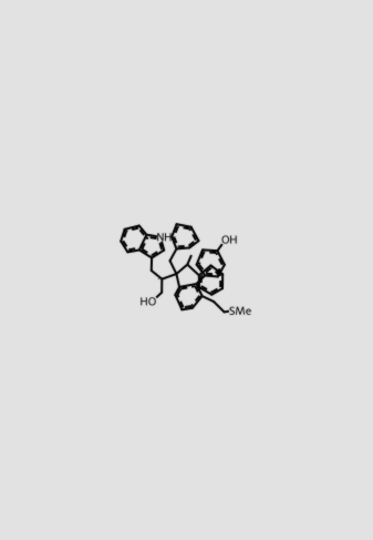 CSCCc1cccc(C(Cc2ccccc2)([C](CO)Cc2c[nH]c3ccccc23)C(C)c2ccccc2)c1-c1ccc(O)cc1